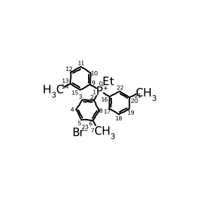 CC[P+](c1cccc(C)c1)(c1cccc(C)c1)c1cccc(C)c1.[Br-]